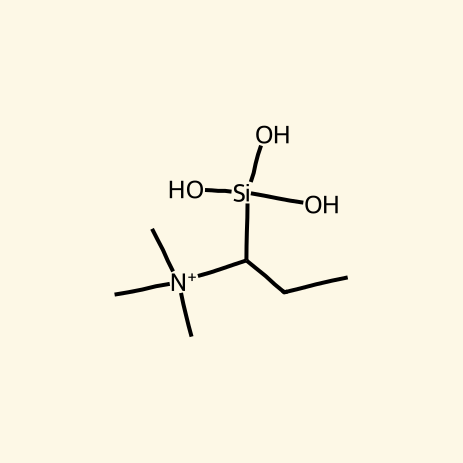 CCC([N+](C)(C)C)[Si](O)(O)O